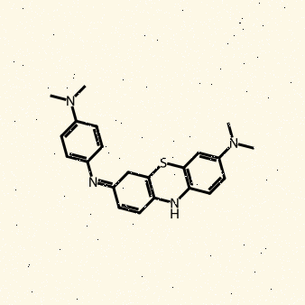 CN(C)c1ccc(N=C2C=CC3=C(C2)Sc2cc(N(C)C)ccc2N3)cc1